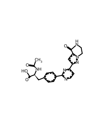 CC(=O)N[C@@H](Cc1ccc(-c2nccc(-c3cc4n(n3)CCNC4=O)n2)cc1)C(=O)O